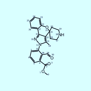 COC(=O)c1cccc(-n2nc3c(c2C)C2(CCNCC2)Oc2ccccc2-3)c1C=O